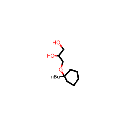 CCCCC1(OCC(O)CO)CCCCC1